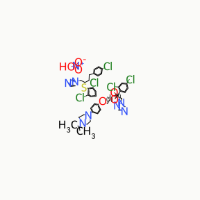 CC(C)N1CCN(c2ccc(OC[C@H]3CO[C@](Cn4cncn4)(c4ccc(Cl)cc4Cl)O3)cc2)CC1.Clc1ccc(CCC(Cn2ccnc2)Sc2c(Cl)cccc2Cl)cc1.O=[N+]([O-])O